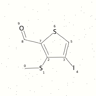 CSc1c(I)csc1C=O